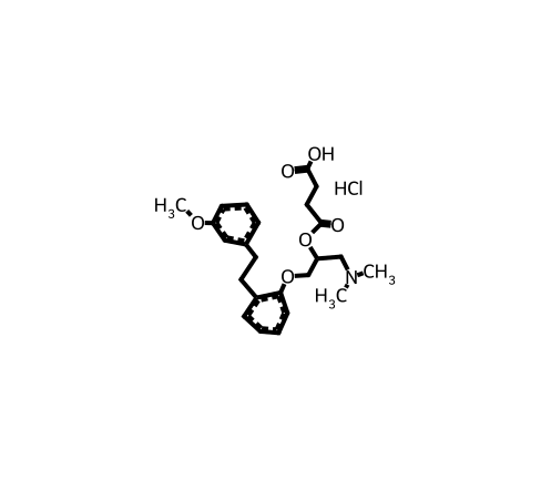 COc1cccc(CCc2ccccc2OCC(CN(C)C)OC(=O)CCC(=O)O)c1.Cl